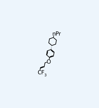 CCC[C@H]1CC[C@H](c2ccc(OCC=CC(F)(F)F)cc2)CC1